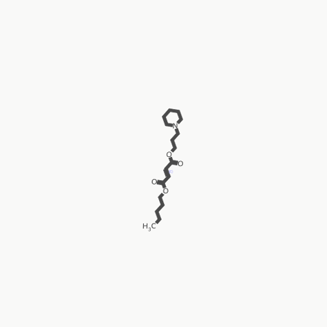 CCCCCOC(=O)/C=C/C(=O)OCCCN1CCCCC1